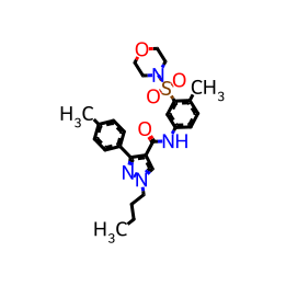 CCCCn1cc(C(=O)Nc2ccc(C)c(S(=O)(=O)N3CCOCC3)c2)c(-c2ccc(C)cc2)n1